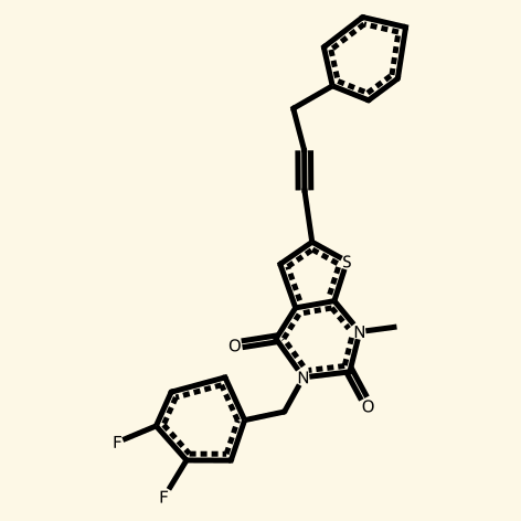 Cn1c(=O)n(Cc2ccc(F)c(F)c2)c(=O)c2cc(C#CCc3ccccc3)sc21